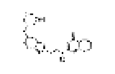 C=C1C=C(C(=O)CCC2=CC3C=C(CC(CO)CO)C=CC3=C2)C=C2C=CC=CC12